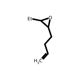 C=CCCC1OC1CC